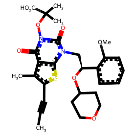 CC#Cc1sc2c(c1C)c(=O)n(OC(C)(C)C(=O)O)c(=O)n2C[C@H](OC1CCOCC1)c1ccccc1OC